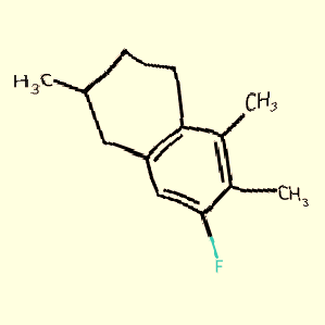 Cc1c(F)cc2c(c1C)CCC(C)C2